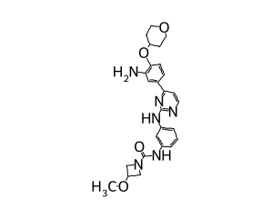 COC1CN(C(=O)Nc2cccc(Nc3nccc(-c4ccc(OC5CCOCC5)c(N)c4)n3)c2)C1